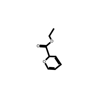 CCOC(=O)[C]1C=CC=CO1